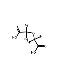 [2H]C([2H])(OC([2H])([2H])C(=O)O)C(=O)O